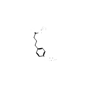 COc1ccc(CCCC(=O)OC(C)C)cc1